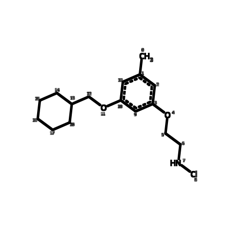 Cc1cc(OCCNCl)cc(OCC2CCCCC2)c1